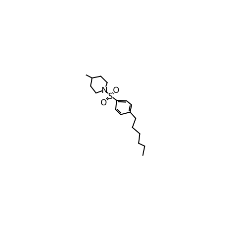 CCCCCCc1ccc(S(=O)(=O)N2CCC(C)CC2)cc1